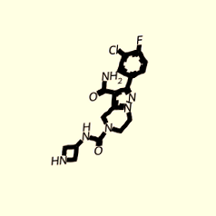 NC(=O)c1c(-c2ccc(F)c(Cl)c2)nn2c1CN(C(=O)NC1CNC1)CC2